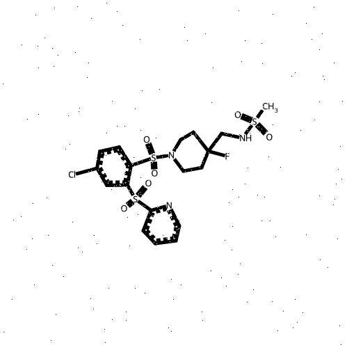 CS(=O)(=O)NCC1(F)CCN(S(=O)(=O)c2ccc(Cl)cc2S(=O)(=O)c2ccccn2)CC1